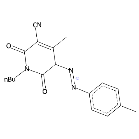 CCCCN1C(=O)C(C#N)=C(C)C(/N=N/c2ccc(C)cc2)C1=O